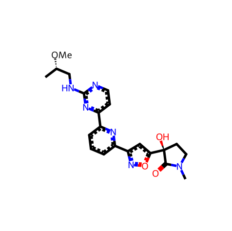 CO[C@@H](C)CNc1nccc(-c2cccc(-c3cc([C@]4(O)CCN(C)C4=O)on3)n2)n1